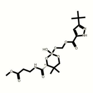 COC(=O)CCNC(=O)[C@@H]1O[P](O)(OCOC(=O)c2cc(C(C)(C)C)n[nH]2)OCC1(C)C